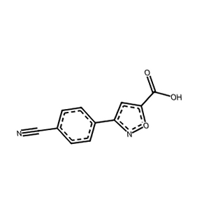 N#Cc1ccc(-c2cc(C(=O)O)on2)cc1